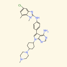 Cc1cc(Cl)cc2nc(Nc3ccc(-c4cn(C5CCC(N6CCN(C)CC6)CC5)c5ncnc(N)c45)cc3)n(C)c12